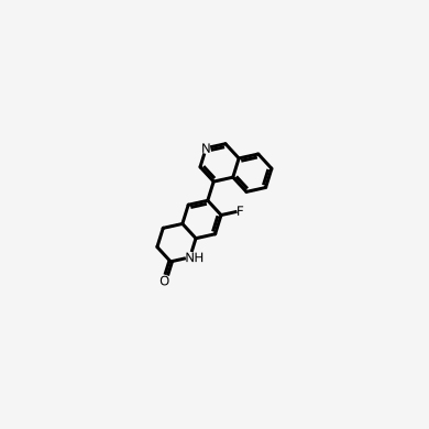 O=C1CCC2C=C(c3cncc4ccccc34)C(F)=CC2N1